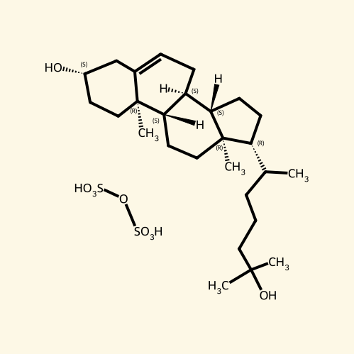 CC(CCCC(C)(C)O)[C@H]1CC[C@H]2[C@@H]3CC=C4C[C@@H](O)CC[C@]4(C)[C@H]3CC[C@]12C.O=S(=O)(O)OS(=O)(=O)O